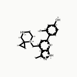 Cc1n[nH]c2nc(-c3ccc(O)cc3F)cc(CN3CCNCC34CC4)c12